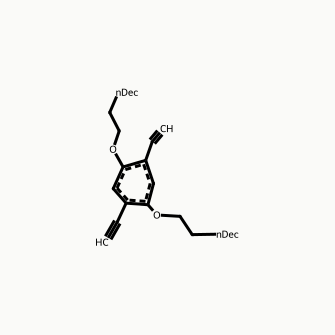 C#Cc1cc(OCCCCCCCCCCCC)c(C#C)cc1OCCCCCCCCCCCC